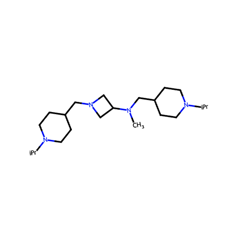 CC(C)N1CCC(CN2CC(N(C)CC3CCN(C(C)C)CC3)C2)CC1